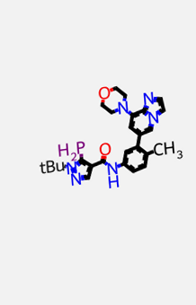 Cc1ccc(NC(=O)c2cnn(C(C)(C)C)c2P)cc1-c1cc(N2CCOCC2)c2nccn2c1